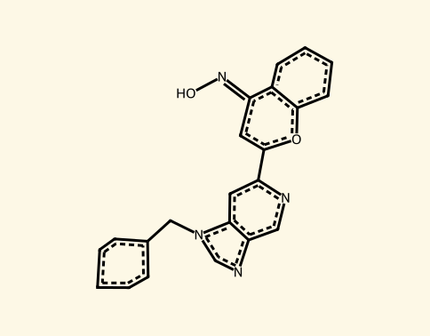 O/N=c1\cc(-c2cc3c(cn2)ncn3Cc2ccccc2)oc2ccccc12